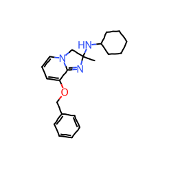 CC1(NC2CCCCC2)CN2C=CC=C(OCc3ccccc3)C2=N1